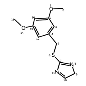 COc1cc(CSC2=NCC=N2)cc(OC)c1